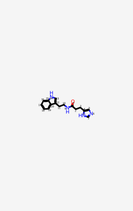 O=C(CCc1cnc[nH]1)NCCc1c[nH]c2ccccc12